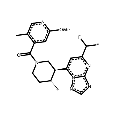 COc1cc(C(=O)N2CC[C@@H](C)[C@H](c3cc(C(F)F)nc4ncnn34)C2)c(C)cn1